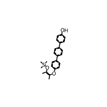 CC(Oc1ccc(-c2ccc(-c3ccc(O)cc3)cc2)cc1)=C(C)O[Si](C)(C)C